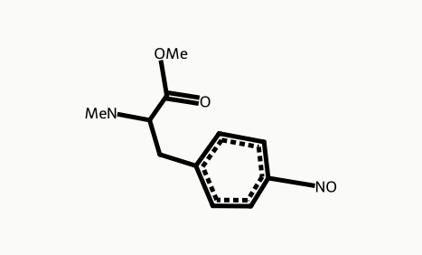 CNC(Cc1ccc(N=O)cc1)C(=O)OC